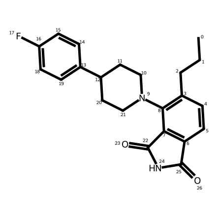 CCCc1ccc2c(c1N1CCC(c3ccc(F)cc3)CC1)C(=O)NC2=O